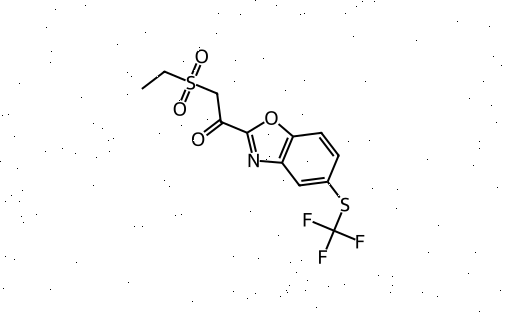 CCS(=O)(=O)CC(=O)c1nc2cc(SC(F)(F)F)ccc2o1